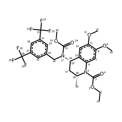 CCOC(=O)N1c2cc(OC)c(OC)cc2[C@@H](N(Cc2cc(C(F)(F)F)cc(C(F)(F)F)c2)C(=O)OC)C[C@H]1C